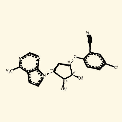 Cc1ncnc2c1ccn2[C@@H]1C[C@H](Oc2ccc(Cl)cc2C#N)[C@@H](O)[C@H]1O